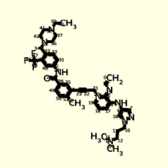 C=C/N=c1/c(Nc2cnn(CCCN(C)C)c2)cccn1CC#Cc1cc(C(=O)Nc2ccc(CN3CCN(CC)CC3)c(C(F)(F)F)c2)ccc1C